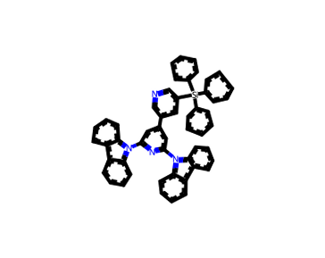 c1ccc([Si](c2ccccc2)(c2ccccc2)c2cncc(-c3cc(-n4c5ccccc5c5ccccc54)nc(-n4c5ccccc5c5ccccc54)c3)c2)cc1